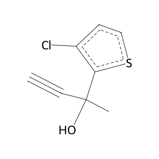 C#CC(C)(O)c1sccc1Cl